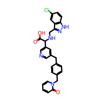 O=C(O)C(NCc1n[nH]c2ccc(Cl)cc12)c1cncc(Cc2ccc(Cn3ccccc3=O)cc2)c1